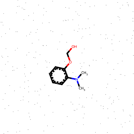 CN(C)c1ccc[c]c1OCO